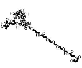 Cc1cn([C@H]2CC(O)[C@@H](COP(=O)(O)OP(=O)(O)OP(=O)(O)OP(=O)(O)OP(=O)(O)OP(=O)(O)OCCCCCCNC(=O)CCOCCOCCOCCOCCNC(=O)CCN3C(=O)C=CC3=O)O2)c(=O)[nH]c1=O